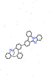 CC/C1=N\c2ccccc2Cc2ccccc2-c2cc(-c3ccc4c(c3)c3ccccc3n3c5ccccc5nc43)ccc21